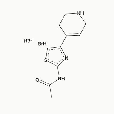 Br.Br.CC(=O)Nc1nc(C2=CCNCC2)cs1